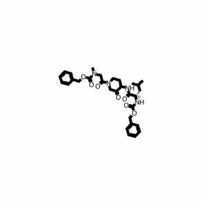 CC(C)C[C@H](NC(=O)OCc1ccccc1)C(=O)NC1CCN(C(=O)CN(C)C(=O)OCc2ccccc2)CC1=O